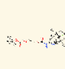 CC(C)(C)OC(=O)COCCOCC(=O)Nc1ccc([Si](F)(C(C)(C)C)C(C)(C)C)cn1